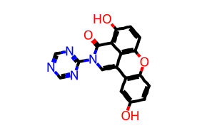 O=c1c2c(O)ccc3c2c(cn1-c1ncncn1)-c1cc(O)ccc1O3